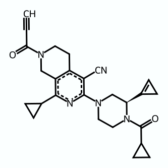 C#CC(=O)N1CCc2c(C#N)c(N3CCN(C(=O)C4CC4)[C@H](C4=CC4)C3)nc(C3CC3)c2C1